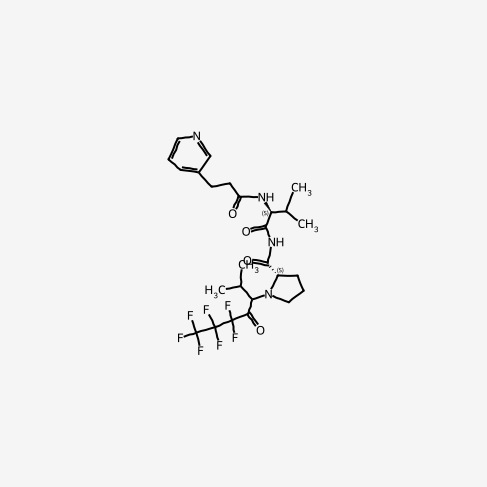 CC(C)C(C(=O)C(F)(F)C(F)(F)C(F)(F)F)N1CCC[C@H]1C(=O)NC(=O)[C@@H](NC(=O)CCc1cccnc1)C(C)C